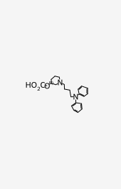 O=C(O)O[C@@H]1CCCN(CCCCN(c2ccccc2)c2ccccc2)C1